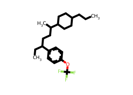 CCCC1CCC(C(C)CCC(CC)c2ccc(OC(F)(F)F)cc2)CC1